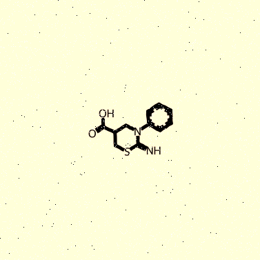 N=C1SCC(C(=O)O)CN1c1ccccc1